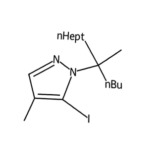 CCCCCCCC(C)(CCCC)n1ncc(C)c1I